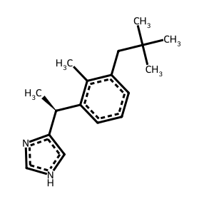 Cc1c(CC(C)(C)C)cccc1[C@H](C)c1c[nH]cn1